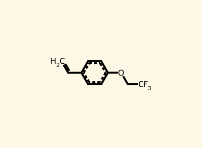 C=Cc1ccc(OCC(F)(F)F)cc1